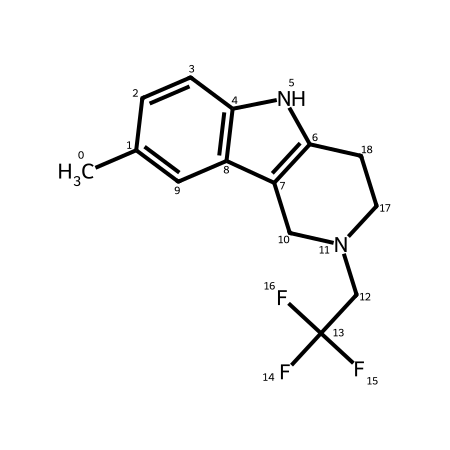 Cc1ccc2[nH]c3c(c2c1)CN(CC(F)(F)F)CC3